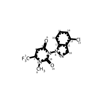 Cn1c(C(F)(F)F)cc(=O)n(-n2ncc3c(Cl)cccc32)c1=O